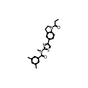 CCC(=O)N1CCc2cc(-c3csc(N(C)C(=O)c4cc(C)cc(C)c4)n3)ccc21